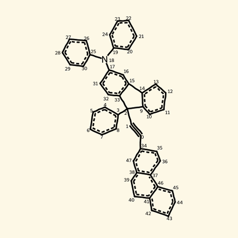 C(#CC1(c2ccccc2)c2ccccc2-c2cc(N(c3ccccc3)c3ccccc3)ccc21)c1ccc2c(ccc3ccccc32)c1